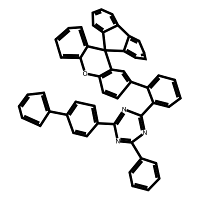 c1ccc(-c2ccc(-c3nc(-c4ccccc4)nc(-c4ccccc4-c4ccc5c(c4)C4(c6ccccc6O5)c5ccccc5-c5ccccc54)n3)cc2)cc1